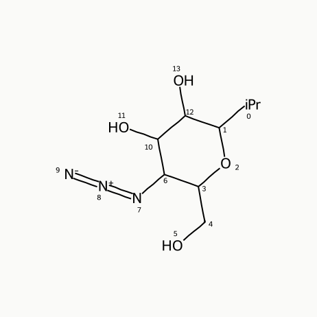 CC(C)C1OC(CO)C(N=[N+]=[N-])C(O)C1O